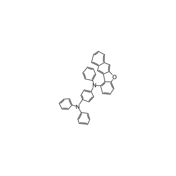 c1ccc(N(c2ccccc2)c2ccc(N(c3ccccc3)c3cccc4oc5cc6ccccc6cc5c34)cc2)cc1